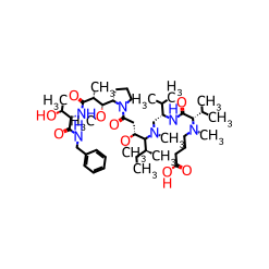 CC[C@H](C)C([C@@H](CC(=O)N1CCC[C@H]1[C@H](OC)[C@@H](C)C(=O)N[C@H](C(=O)NCc1ccccc1)C(C)O)OC)N(C)C[C@@H](NC(=O)[C@H](C(C)C)N(C)CCCC(=O)O)C(C)C